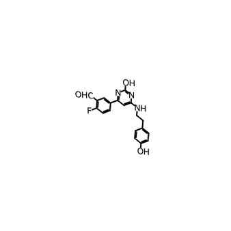 O=Cc1cc(-c2cc(NCCc3ccc(O)cc3)nc(O)n2)ccc1F